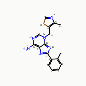 Cc1ccccc1-c1nc2c(N)ncn(Cc3scnc3C)c-2n1